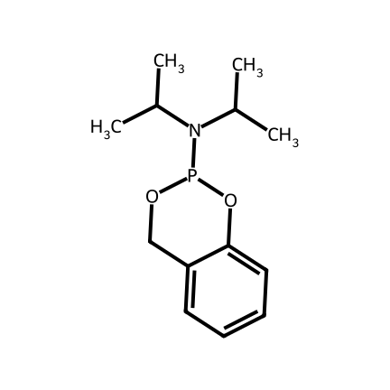 CC(C)N(C(C)C)P1OCc2ccccc2O1